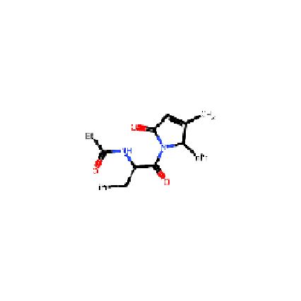 CCCC1C(C)=CC(=O)N1C(=O)[C@@H](CC(C)C)NC(=O)CC